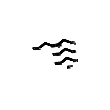 NCC(=O)O.O=C([O-])CO.O=C([O-])CO.O=C([O-])CO.[Al+3]